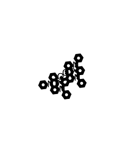 c1ccc(-n2c3cccc4oc5c6c(cc7c5p(c43)c3c2cccc3n7-c2ccccc2)cc2c3c6oc4cccc5c4p3c3c(cccc3n2-c2ccccc2)n5-c2ccccc2)cc1